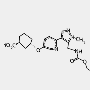 Cn1ncc(-c2ccc(O[C@H]3CCC[C@H](C(=O)O)C3)cn2)c1CNC(=O)OCC(C)(C)C